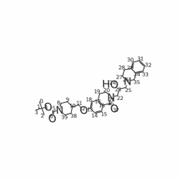 CC(C)(C)OC(=O)N1CCC(COc2ccc3c(c2)CCN(C[C@H](O)CN2CCc4ccccc4C2)C3=O)CC1